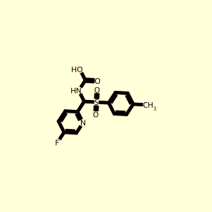 Cc1ccc(S(=O)(=O)C(NC(=O)O)c2ccc(F)cn2)cc1